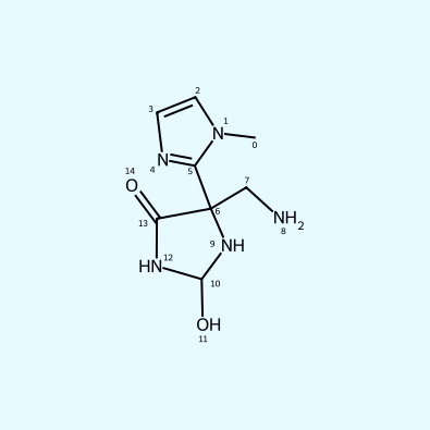 Cn1ccnc1C1(CN)NC(O)NC1=O